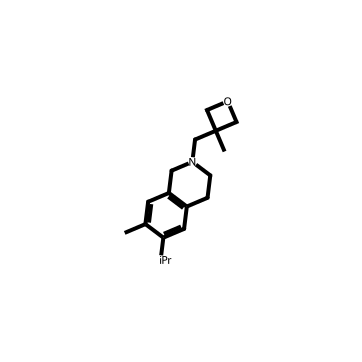 Cc1cc2c(cc1C(C)C)CCN(CC1(C)COC1)C2